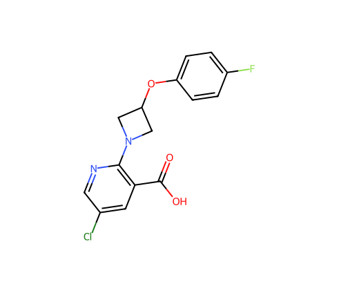 O=C(O)c1cc(Cl)cnc1N1CC(Oc2ccc(F)cc2)C1